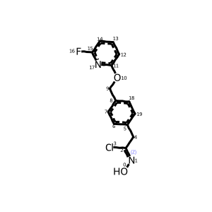 O/N=C(\Cl)Cc1ccc(COc2cccc(F)n2)cc1